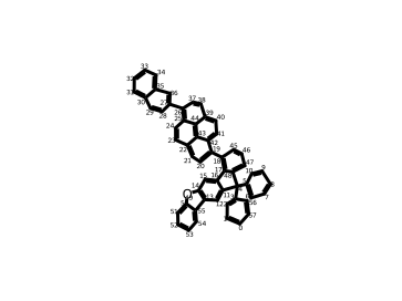 c1ccc(C2(c3ccccc3)c3cc4c(cc3-c3c(-c5ccc6ccc7c(-c8ccc9ccccc9c8)ccc8ccc5c6c87)cccc32)oc2ccccc24)cc1